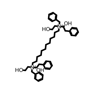 OCC[N+](CCCCCCCCCCCC[N+](CCO)(Cc1ccccc1)C(O)Cc1ccccc1)(Cc1ccccc1)C(O)Cc1ccccc1